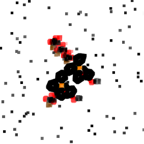 CCOc1ccc(C[P+](c2ccccc2)(c2ccccc2)c2ccccc2)cc1.CCOc1ccc(C[P+](c2ccccc2)(c2ccccc2)c2ccccc2)cc1.[O]=[Mn](=[O])([O-])[Br].[O]=[Mn](=[O])([O-])[Br].[O]=[Mn](=[O])([OH])[Br].[O]=[Mn](=[O])([OH])[Br]